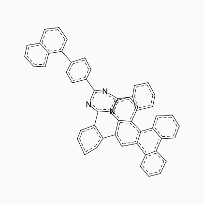 c1ccc(-c2nc(-c3ccc(-c4cccc5ccccc45)cc3)nc(-c3ccccc3-c3cc4c5ccccc5c5ccccc5c4c4ccccc34)n2)cc1